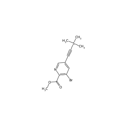 COC(=O)c1ncc(C#CS(C)(C)C)cc1Br